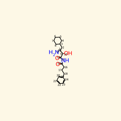 N[C@H](CC1CCCCC1)C(O)C(=O)NC(=O)CCCc1ccccc1